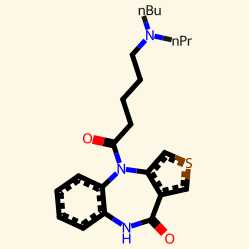 CCCCN(CCC)CCCCC(=O)N1c2ccccc2NC(=O)c2cscc21